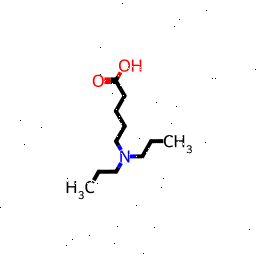 CCCN(CCC)CCCCC(=O)O